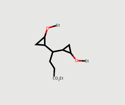 CCOC(=O)CCC(C1CC1OCC)C1CC1OCC